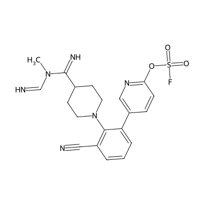 CN(C=N)C(=N)C1CCN(c2c(C#N)cccc2-c2ccc(OS(=O)(=O)F)nc2)CC1